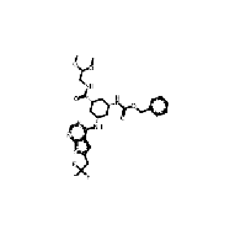 COC(CNC(=O)[C@@H]1C[C@H](NC(=O)OCc2ccccc2)C[C@H](Nc2ncnc3sc(CC(F)(F)F)cc23)C1)OC